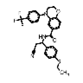 CCSc1ccc(C(CC#N)NC(=O)c2ccc3c(c2)N(c2ccc(C(F)(F)F)cc2)CCO3)cc1